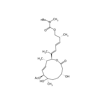 CCCCN(C)C(=O)OC[C@H](C)/C=C/C=C(\C)[C@H]1OC(=O)C[C@H](O)CC[C@@](C)(O)[C@@H](OC(C)=O)/C=C/[C@@H]1C